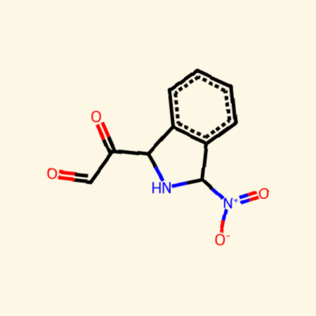 O=CC(=O)C1NC([N+](=O)[O-])c2ccccc21